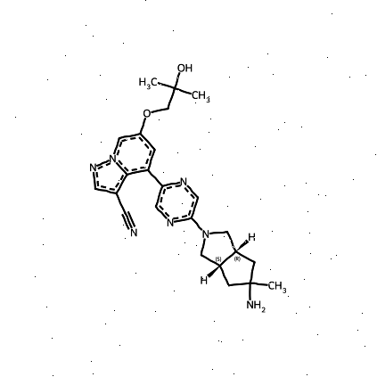 CC(C)(O)COc1cc(-c2cnc(N3C[C@@H]4CC(C)(N)C[C@@H]4C3)cn2)c2c(C#N)cnn2c1